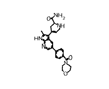 Cc1[nH]c2ncc(-c3ccc(C(=O)N4CCOCC4)cc3)cc2c1C1=CCNC(C(N)=O)C1